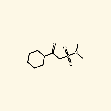 CN(C)S(=O)(=O)CC(=O)C1CCCCC1